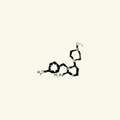 Cc1ccc(CN2C([AsH2])=NC=CC2N2CCN(C)CC2)cc1